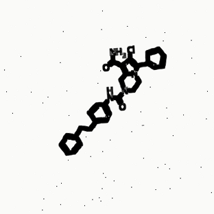 NC(=O)c1c(Cl)c(-c2ccccc2)n2c1CN(C(=O)Nc1ccc(CCc3ccccc3)cc1)CC2